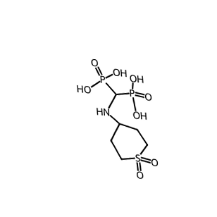 O=P(O)(O)C(NC1CCS(=O)(=O)CC1)P(=O)(O)O